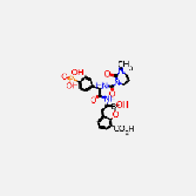 CN1CCCN(C(=O)NC(C(=O)N[C@H]2Cc3cccc(C(=O)O)c3OB2O)c2ccc(P(=O)(O)O)cc2)C1=O